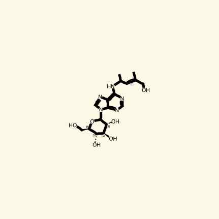 C/C(=C\C(C)Nc1ncnc2c1ncn2C1O[C@H](CO)[C@@H](O)[C@H](O)[C@H]1O)CO